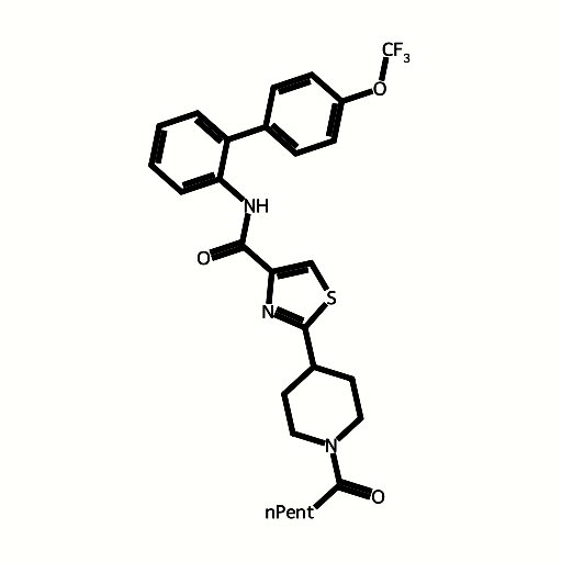 CCCCCC(=O)N1CCC(c2nc(C(=O)Nc3ccccc3-c3ccc(OC(F)(F)F)cc3)cs2)CC1